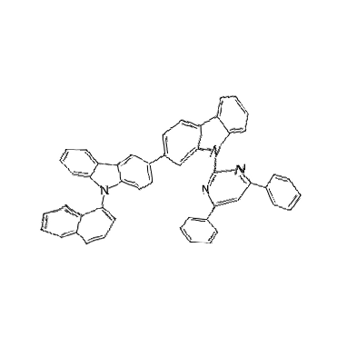 c1ccc(-c2cc(-c3ccccc3)nc(-n3c4ccccc4c4ccc(-c5ccc6c(c5)c5ccccc5n6-c5cccc6ccccc56)cc43)n2)cc1